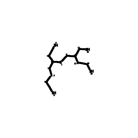 SCSCC(CS)SCC(CS)SCS